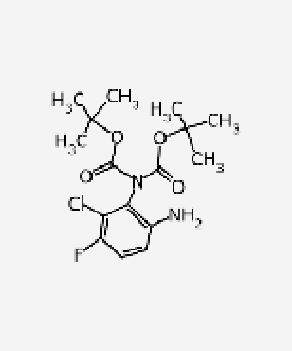 CC(C)(C)OC(=O)N(C(=O)OC(C)(C)C)c1c(N)ccc(F)c1Cl